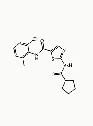 Cc1cccc(Cl)c1NC(=O)c1cnc([AsH]C(=O)C2CCCC2)s1